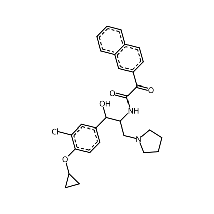 O=C(NC(CN1CCCC1)C(O)c1ccc(OC2CC2)c(Cl)c1)C(=O)c1ccc2ccccc2c1